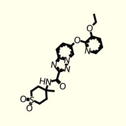 CCOc1cccnc1Oc1ccc2nc(C(=O)NC3(C)CCS(=O)(=O)CC3)nn2c1